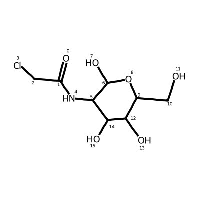 O=C(CCl)NC1C(O)OC(CO)C(O)C1O